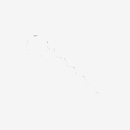 CCCCCCCCCC[P]C1CCCCCCCC1